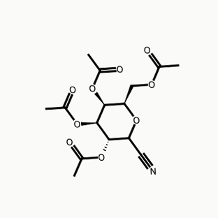 CC(=O)OC[C@H]1OC(C#N)[C@H](OC(C)=O)[C@@H](OC(C)=O)[C@H]1OC(C)=O